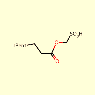 CCCCCCCC(=O)OCS(=O)(=O)O